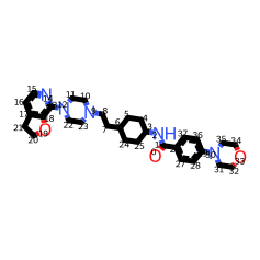 O=C(NC1CCC(CCN2CCN(c3nccc4c3OCC4)CC2)CC1)c1ccc(N2CCOCC2)cc1